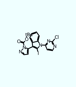 CC(C)(C)OC(=O)n1nccc1-c1c(I)n(-c2ccnc(Cl)n2)c2ccccc12